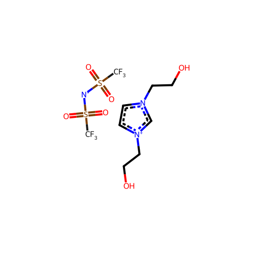 O=S(=O)([N-]S(=O)(=O)C(F)(F)F)C(F)(F)F.OCCn1cc[n+](CCO)c1